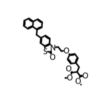 COC(=O)C(Cc1ccc(OCCn2c(=O)sc3cc(Cc4cccc5ccccc45)ccc32)cc1)C(=O)OC